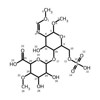 CO/C=N\C1C(OC)OC(COS(=O)(=O)O)C(OC2OC(C(=O)O)C(OC)C(O)C2O)C1O